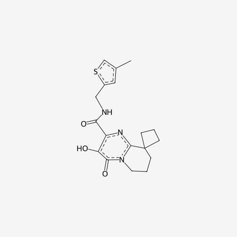 Cc1csc(CNC(=O)c2nc3n(c(=O)c2O)CCCC32CCC2)c1